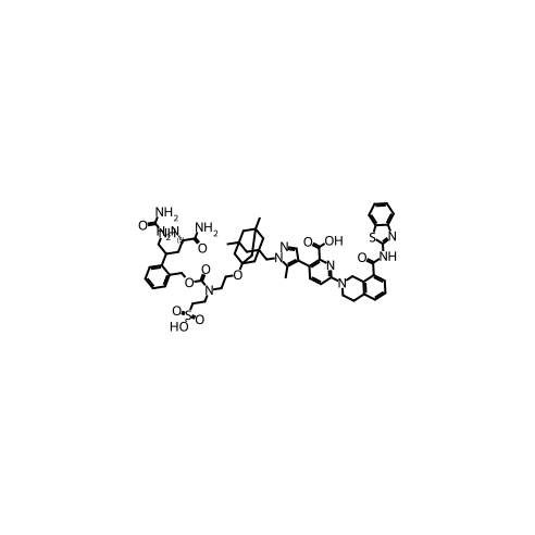 Cc1c(-c2ccc(N3CCc4cccc(C(=O)Nc5nc6ccccc6s5)c4C3)nc2C(=O)O)cnn1CC12CC3(C)CC(C)(C1)CC(OCCN(CCS(=O)(=O)O)C(=O)OCc1ccccc1C(CNC(N)=O)C[C@H](N)C(N)=O)(C3)C2